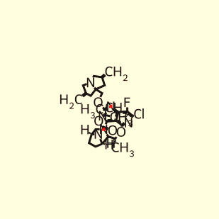 C=C1CN2CC(=C)CC2(COc2nc3c4c(nc(Cl)c(F)c4n2)O[C@@H](C)[C@@H]2[C@@H]4CC[C@H](CN32)N4C(=O)OC(C)(C)C)C1